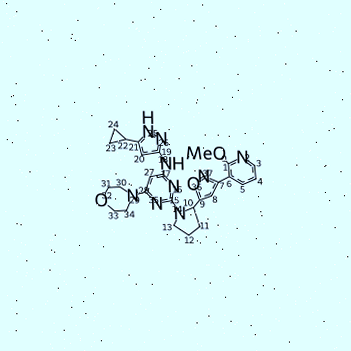 COc1ncccc1-c1cc(C2CCCN2c2nc(Nc3cc(C4CC4)[nH]n3)cc(N3CCOCC3)n2)on1